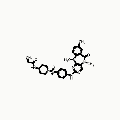 C=CC(=O)NC1CCN(S(=O)(=O)c2ccc(Nc3ncc4c(n3)N(C)c3ccc(C)cc3C(=O)N4C)cc2)CC1